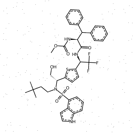 COC(=O)N[C@H](C(=O)N[C@H](c1ccc([C@@H](CO)N(CCC(C)(C)C)S(=O)(=O)c2cccc3[nH]ccc23)s1)C(F)(F)F)C(c1ccccc1)c1ccccc1